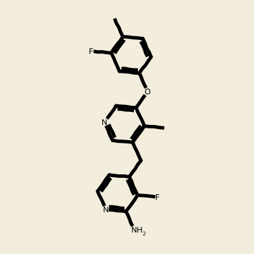 Cc1ccc(Oc2cncc(Cc3ccnc(N)c3F)c2C)cc1F